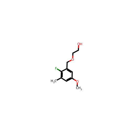 COc1cc(C)c(F)c(COCCO)c1